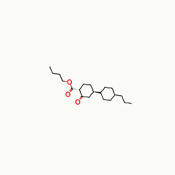 CCCCOC(=O)[C@@H]1CC[C@@H](C2CCC(CCC)CC2)CC1=O